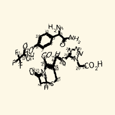 NC(=O)C(N)c1ccc(O)cc1.O=C(O)C(F)(F)F.O=C(O)Cn1nnnc1SCC1=C(C(=O)O)N2C(=O)C[C@@H]2SC1